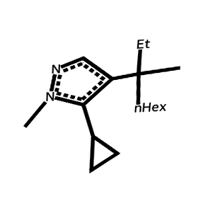 CCCCCCC(C)(CC)c1cnn(C)c1C1CC1